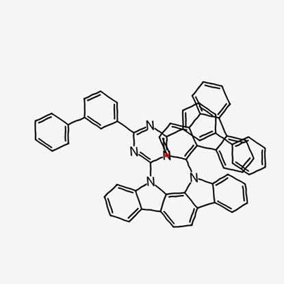 c1ccc(-c2cccc(-c3nc(-c4cccc(-c5ccccc5)c4)nc(-n4c5ccccc5c5ccc6c7ccccc7n(-c7cccc8c9ccccc9c9ccccc9c78)c6c54)n3)c2)cc1